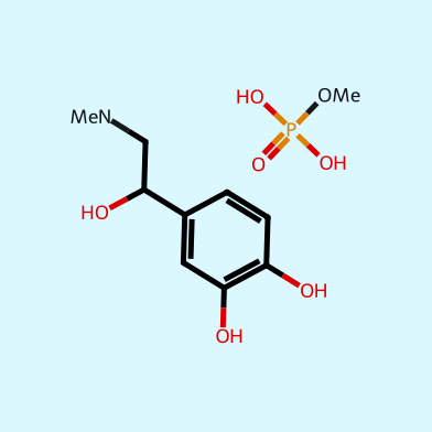 CNCC(O)c1ccc(O)c(O)c1.COP(=O)(O)O